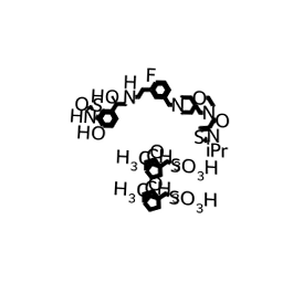 CC(C)c1nc(C(=O)N2CCOC3(CCN(Cc4ccc(F)c(CCNC[C@H](O)c5ccc(O)c6[nH]c(=O)sc56)c4)CC3)C2)cs1.CC1(C)C2CCC1(CS(=O)(=O)O)C(=O)C2.CC1(C)C2CCC1(CS(=O)(=O)O)C(=O)C2